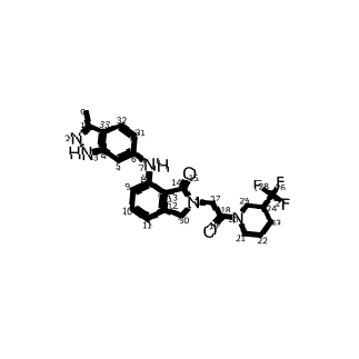 Cc1n[nH]c2cc(Nc3cccc4c3C(=O)N(CC(=O)N3CCCC(C(F)(F)F)C3)C4)ccc12